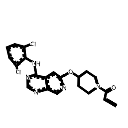 C=CC(=O)N1CCC(Oc2cc3c(Nc4c(Cl)cccc4Cl)ncnc3cn2)CC1